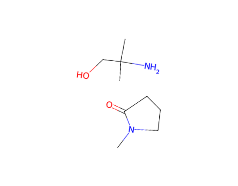 CC(C)(N)CO.CN1CCCC1=O